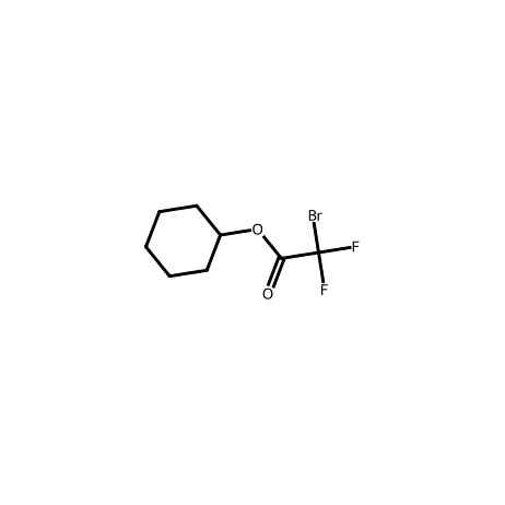 O=C(OC1CCCCC1)C(F)(F)Br